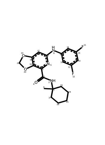 CC1(NC(=O)c2nc(Nc3cc(F)cc(F)c3)cc3c2OCO3)CCCCC1